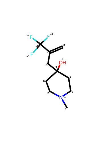 C=C(CC1(O)CCN(C)CC1)C(F)(F)F